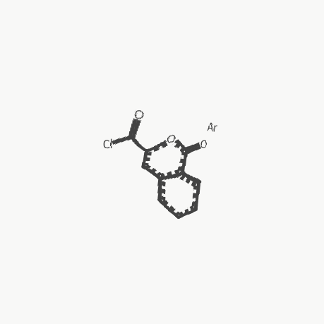 O=C(Cl)c1cc2ccccc2c(=O)o1.[Ar]